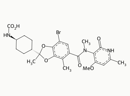 COc1cc(C)[nH]c(=O)c1N(C)C(=O)c1cc(Br)c2c(c1C)OC(C)([C@H]1CC[C@H](NC(=O)O)CC1)O2